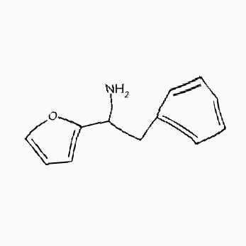 NC(Cc1ccccc1)c1ccco1